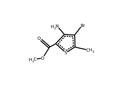 COC(=O)c1sc(C)c(Br)c1N